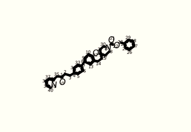 O=C(CCc1ccc(-c2ccc3c(c2)CCC2(CCN(C(=O)OCc4ccccc4)CC2)O3)cc1)Cc1ccccn1